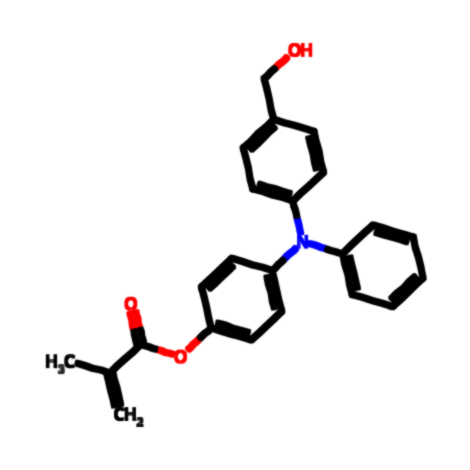 C=C(C)C(=O)Oc1ccc(N(c2ccccc2)c2ccc(CO)cc2)cc1